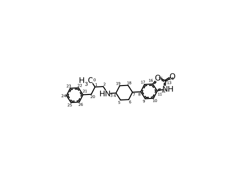 CC(CNC1CCC(c2ccc3[nH]c(=O)oc3c2)CC1)Cc1ccccc1